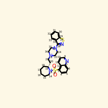 O=S(=O)(c1cccc2ncccc12)N1CCCCC[C@@H]1CCN1CCN(c2nsc3ccccc23)CC1